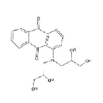 O=C1c2ccccc2C(=O)c2c1cccc2N(CC(O)CO)CC(O)CO